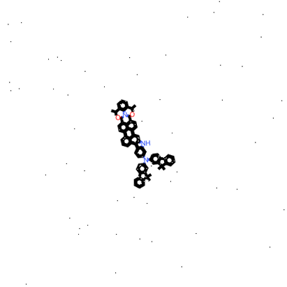 CC(C)c1cccc(C(C)C)c1N1C(=O)c2ccc3c4cccc5c6c(cc(c7ccc(c2c37)C1=O)c45)[nH]c1cc(N(c2ccc3c(c2)C(C)(C)c2ccccc2-3)c2ccc3c(c2)C(C)(C)c2ccccc2-3)ccc16